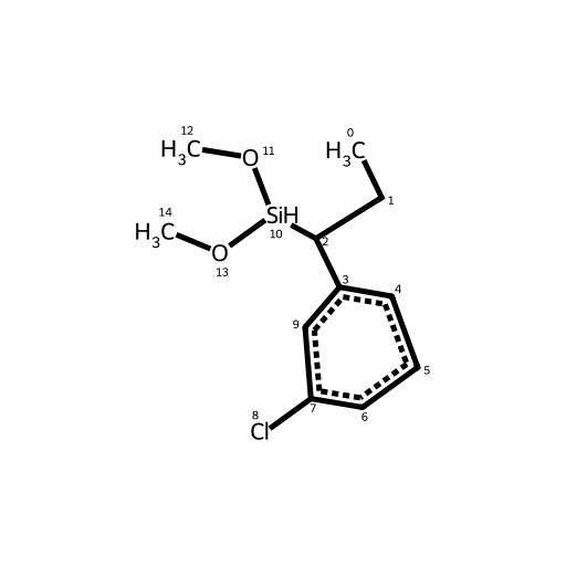 CCC(c1cccc(Cl)c1)[SiH](OC)OC